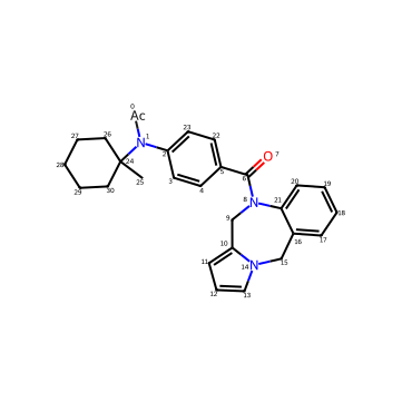 CC(=O)N(c1ccc(C(=O)N2Cc3cccn3Cc3ccccc32)cc1)C1(C)CCCCC1